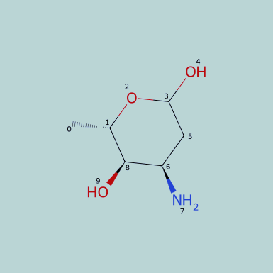 C[C@@H]1OC(O)C[C@@H](N)[C@H]1O